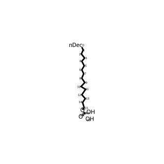 CCCCCCCCCCCCCCCCCCCCCCCCCOP(=O)(O)O